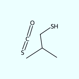 CC(C)CS.O=C=S